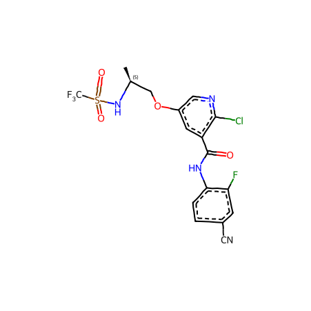 C[C@@H](COc1cnc(Cl)c(C(=O)Nc2ccc(C#N)cc2F)c1)NS(=O)(=O)C(F)(F)F